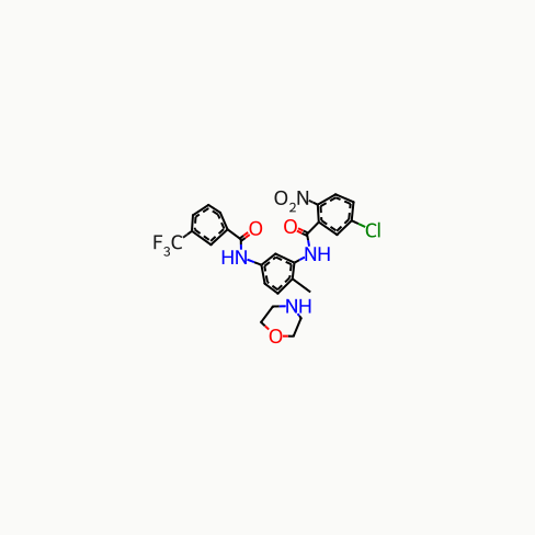 C1COCCN1.Cc1ccc(NC(=O)c2cccc(C(F)(F)F)c2)cc1NC(=O)c1cc(Cl)ccc1[N+](=O)[O-]